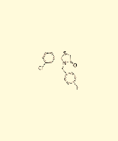 O=C1CSC(c2cccc(Cl)c2)N1Cc1ccc(F)cc1